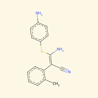 Cc1ccccc1/C(C#N)=C(/N)Sc1ccc(N)cc1